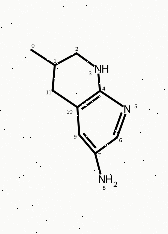 CC1CNc2ncc(N)cc2C1